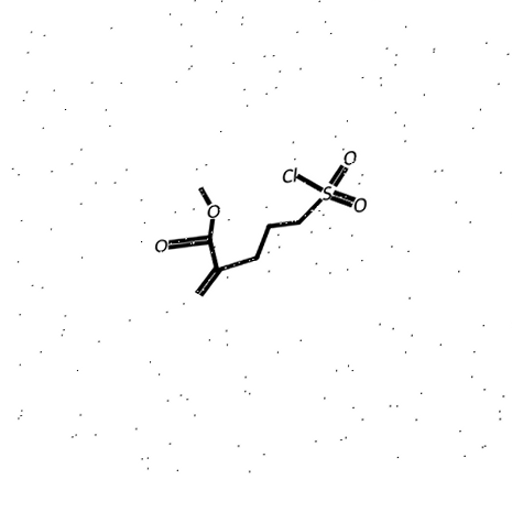 C=C(CCCS(=O)(=O)Cl)C(=O)OC